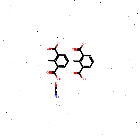 Cc1c(C(=O)O)cccc1C(=O)O.Cc1c(C(=O)O)cccc1C(=O)O.N=C=O